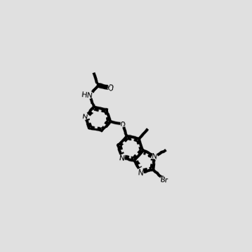 CC(=O)Nc1cc(Oc2cnc3nc(Br)n(C)c3c2C)ccn1